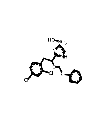 Clc1ccc(CC(OCOc2ccccc2)c2ncc[nH]2)c(Cl)c1.O=[N+]([O-])O